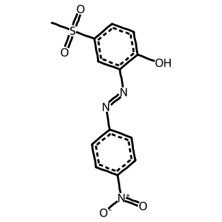 CS(=O)(=O)c1ccc(O)c(/N=N/c2ccc([N+](=O)[O-])cc2)c1